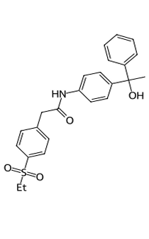 CCS(=O)(=O)c1ccc(CC(=O)Nc2ccc(C(C)(O)c3ccccc3)cc2)cc1